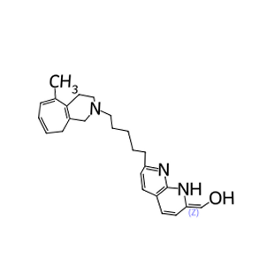 CC1=CC=CCC2=C1CCN(CCCCCc1ccc3c(n1)N/C(=C\O)C=C3)C2